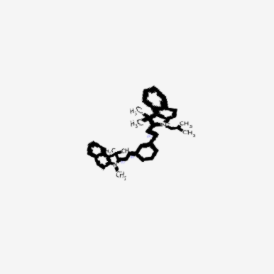 CC(C)C[N+]1=C(/C=C/C2=CC(=C/C=C3/N(C)c4ccc5ccccc5c4C3(C)C)/CCC2)C(C)(C)c2c1ccc1ccccc21